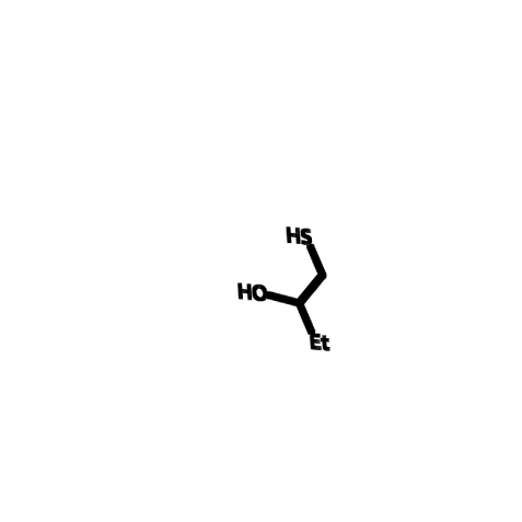 CCC(O)CS